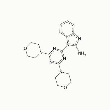 Nc1nc2ccccc2n1-c1nc(N2CCOCC2)nc(N2CCOCC2)n1